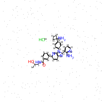 C[C@@H](O)CNC(=O)c1cccc(-c2ccc3nc(-c4cccnc4N)n(-c4ccc(C5(N)CCC5)cc4)c3n2)c1.Cl